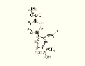 CC=Cc1cc(C(O)(C(F)(F)F)C(F)(F)F)ccc1N1CCCN(C(=O)OC(C)(C)C)CC1